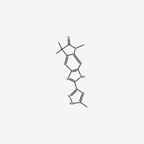 Cc1cc(-c2nc3cc4c(cc3[nH]2)N(C)C(=O)C4(C)C)n[nH]1